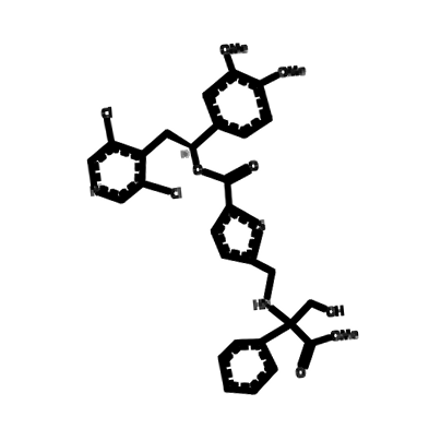 COC(=O)C(CO)(NCc1ccc(C(=O)O[C@@H](Cc2c(Cl)cncc2Cl)c2ccc(OC)c(OC)c2)s1)c1ccccc1